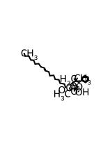 CCCCCCCCC=CCCCCCCCC(=O)OC(C)O[P]1(O)OCC(C)(C)C(c2ccccc2)O1